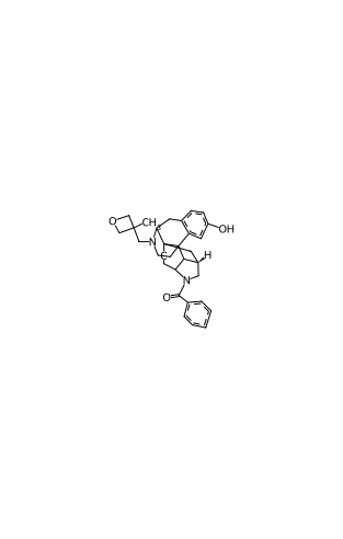 CC1(CN2CCC34c5cc(O)ccc5CC2C32CCC3C4[C@@H](CN3C(=O)c3ccccc3)C2)COC1